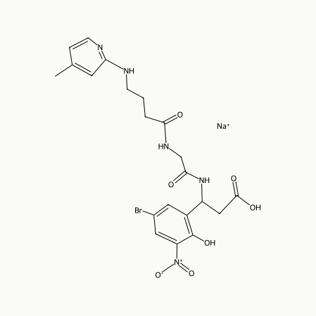 Cc1ccnc(NCCCC(=O)NCC(=O)NC(CC(=O)O)c2cc(Br)cc([N+](=O)[O-])c2O)c1.[Na+]